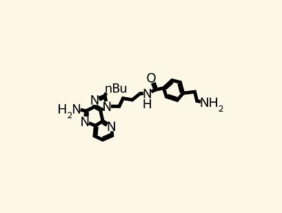 CCCCc1nc2c(N)nc3cccnc3c2n1CCCCNC(=O)c1ccc(CCN)cc1